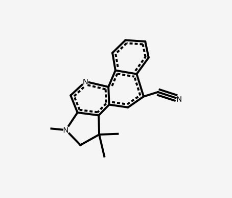 CN1CC(C)(C)c2c1cnc1c2cc(C#N)c2ccccc21